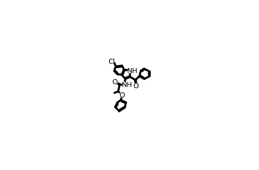 CC(Oc1ccccc1)C(=O)Nc1c(C(=O)c2ccccc2)[nH]c2cc(Cl)ccc12